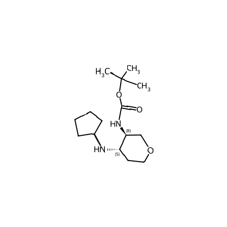 CC(C)(C)OC(=O)N[C@H]1COCC[C@@H]1NC1CCCC1